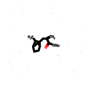 C=C(CC1C2CCC(C2)C1C)C(=O)OC